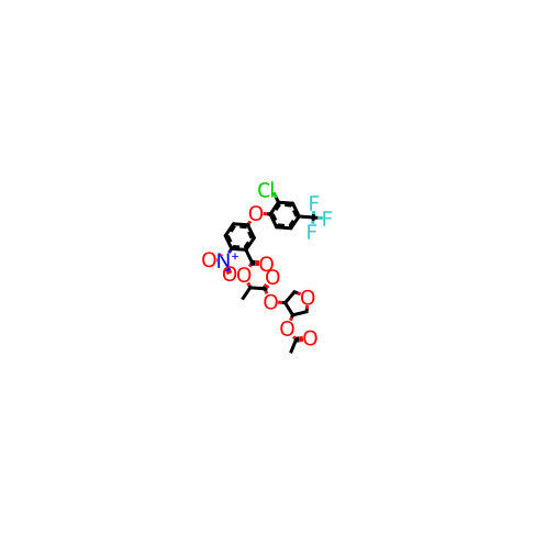 CC(=O)OC1COCC1OC(=O)C(C)OC(=O)c1cc(Oc2ccc(C(F)(F)F)cc2Cl)ccc1[N+](=O)[O-]